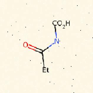 CCC(=O)[N]C(=O)O